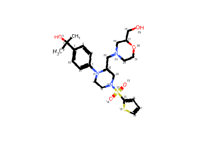 CC(C)(O)c1ccc(N2CCN(S(=O)(=O)c3cccs3)CC2CN2CCOC(CO)C2)cc1